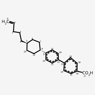 C=CCCC[C@H]1CC[C@H](c2ccc(-c3ccc(C(=O)O)cc3)cc2)CC1